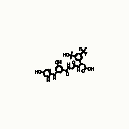 CC(C)(O)c1cc(C(CC(=O)O)NC(=O)CNC(=O)c2cc(O)cc(NC3=NCC(O)CN3)c2)cc(C(F)(F)F)c1